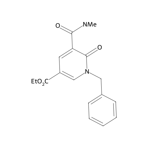 CCOC(=O)c1cc(C(=O)NC)c(=O)n(Cc2ccccc2)c1